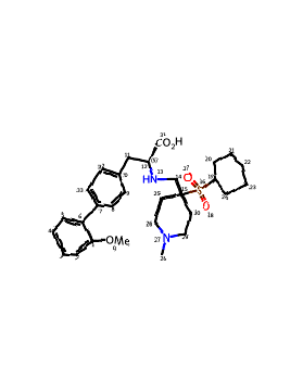 COc1ccccc1-c1ccc(C[C@H](NCC2(S(=O)(=O)C3CCCCC3)CCN(C)CC2)C(=O)O)cc1